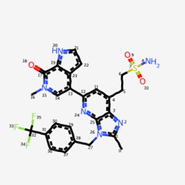 Cc1nc2c(CCS(N)(=O)=O)cc(-c3cn(C)c(=O)c4[nH]ccc34)nc2n1Cc1ccc(C(F)(F)F)cc1